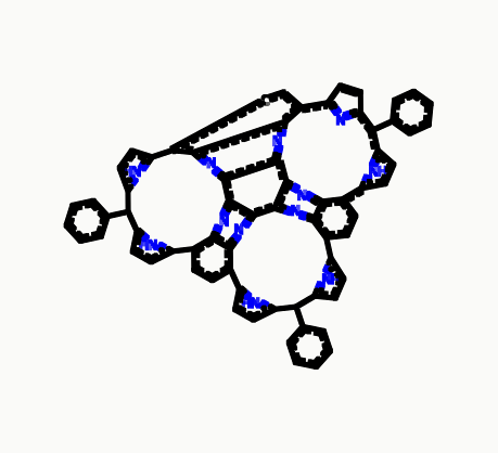 C1=Cc2nc1c(-c1ccccc1)c1ccc([nH]1)c1ccc3c4nc5c6nc7c(ccc8c7nc6c6nc7c(ccc2c7nc6c5nc41)-c1ccc([nH]1)C(c1ccccc1)c1ccc-8[nH]1)-c1ccc([nH]1)C(c1ccccc1)c1ccc-3[nH]1